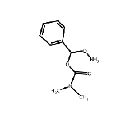 CN(C)C(=O)OC(ON)c1ccccc1